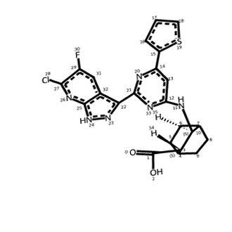 O=C(O)[C@H]1C2CCC(CC2)[C@@H]1Nc1cc(-c2cccs2)nc(-c2n[nH]c3nc(Cl)c(F)cc23)n1